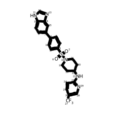 O=S(=O)(c1ccc(-c2ccc3[nH]cnc3c2)cc1)N1CCC(Nc2ccc(C(F)(F)F)cn2)CC1